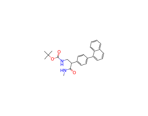 CNC(=O)C(CNC(=O)OC(C)(C)C)c1ccc(-c2cccc3ccccc23)cc1